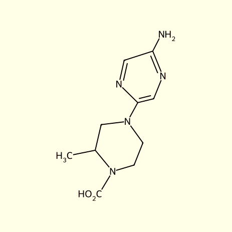 CC1CN(c2cnc(N)cn2)CCN1C(=O)O